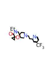 CCN1CC2(CCN(CCc3cc(C(F)(F)F)ccn3)CC2)OC2(CC2)C1=O